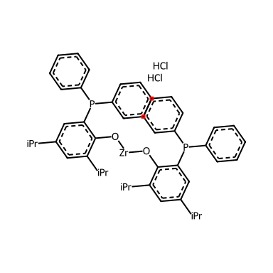 CC(C)c1cc(C(C)C)c([O][Zr][O]c2c(C(C)C)cc(C(C)C)cc2P(c2ccccc2)c2ccccc2)c(P(c2ccccc2)c2ccccc2)c1.Cl.Cl